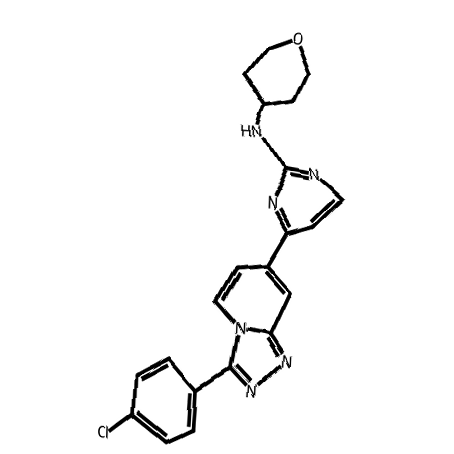 Clc1ccc(-c2nnc3cc(-c4ccnc(NC5CCOCC5)n4)ccn23)cc1